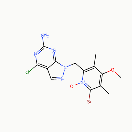 COc1c(C)c(Br)[n+]([O-])c(Cn2ncc3c(Cl)nc(N)nc32)c1C